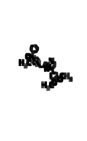 COc1ccc(-c2ccnc3cc(CN4CCN(C(=O)c5ccccc5)[C@H](C)C4)nn23)cc1OC